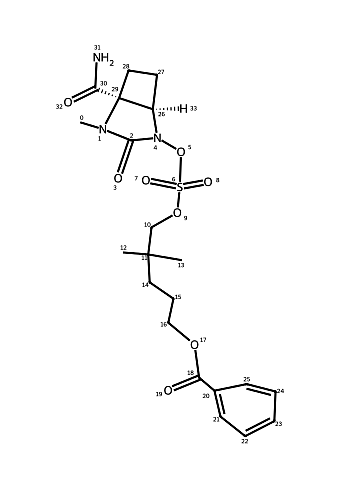 CN1C(=O)N(OS(=O)(=O)OCC(C)(C)CCCOC(=O)c2ccccc2)[C@@H]2CC[C@@]21C(N)=O